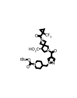 CC(C)(C)OC(=O)N1CCC(Cn2cc(C(=O)N3C[C@@H](C(=O)O)C4(C3)CN(C(=O)C3(C(F)(F)F)CC3)C4)cn2)CC1